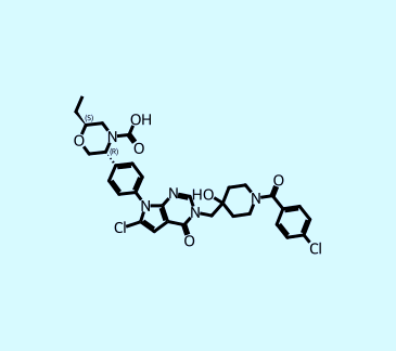 CC[C@H]1CN(C(=O)O)[C@H](c2ccc(-n3c(Cl)cc4c(=O)n(CC5(O)CCN(C(=O)c6ccc(Cl)cc6)CC5)cnc43)cc2)CO1